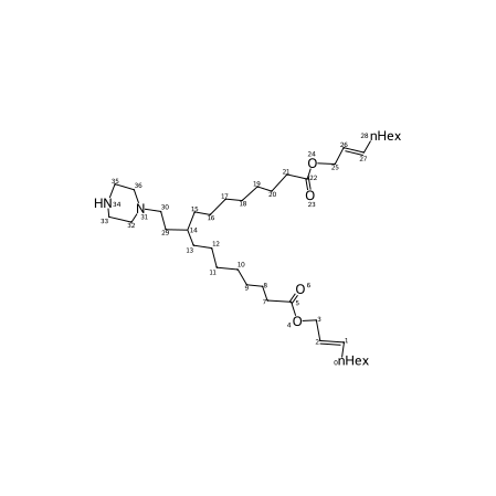 CCCCCC/C=C/COC(=O)CCCCCCCC(CCCCCCCC(=O)OC/C=C/CCCCCC)CCN1CCNCC1